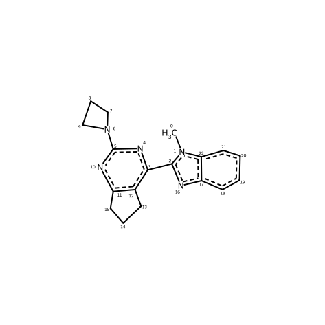 Cn1c(-c2nc(N3CCC3)nc3c2CCC3)nc2ccccc21